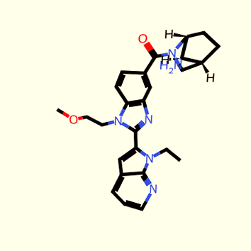 CCn1c(-c2nc3cc(C(=O)N4C[C@H]5CC[C@@H]4[C@@H]5N)ccc3n2CCOC)cc2cccnc21